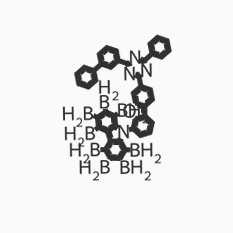 Bc1c(B)c(B)c2c(c1B)c1c(B)c(B)c(B)c(B)c1n2-c1cccc2c1oc1cc(-c3nc(-c4ccccc4)nc(-c4cccc(-c5ccccc5)c4)n3)ccc12